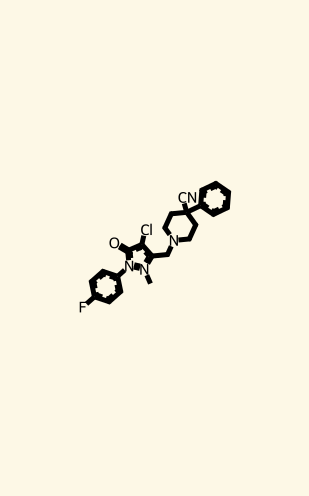 Cn1c(CN2CCC(C#N)(c3ccccc3)CC2)c(Cl)c(=O)n1-c1ccc(F)cc1